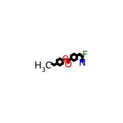 CCCC1CCC(OC(=O)C2CCC(/C=C(/F)C#N)CC2)CC1